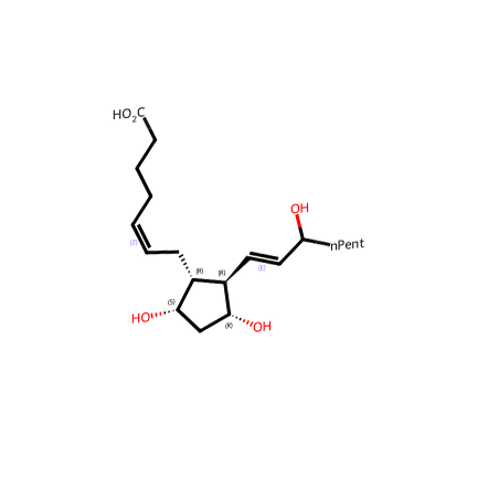 CCCCCC(O)/C=C/[C@@H]1[C@@H](C/C=C\CCCC(=O)O)[C@@H](O)C[C@H]1O